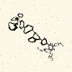 Cc1nc(C)c(C)c(-c2ccc(-c3ccc(-c4ccc(-c5ccc(P(=O)(c6ccccc6)c6ccccc6)cc5)cc4)c4ccccc34)cc2)n1